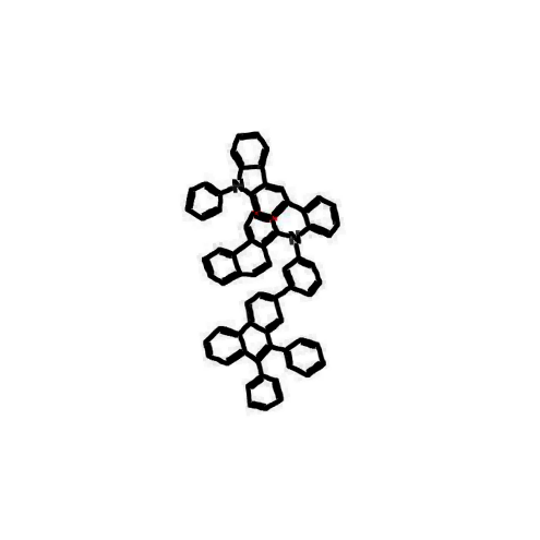 c1ccc(-c2c(-c3ccccc3)c3cc(-c4cccc(N(c5ccccc5-c5ccc6c(c5)c5ccccc5n6-c5ccccc5)c5cccc6c5ccc5ccccc56)c4)ccc3c3ccccc23)cc1